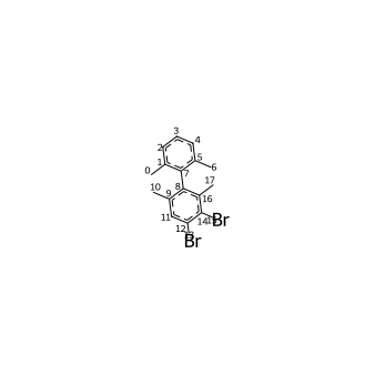 Cc1cccc(C)c1-c1c(C)cc(Br)c(Br)c1C